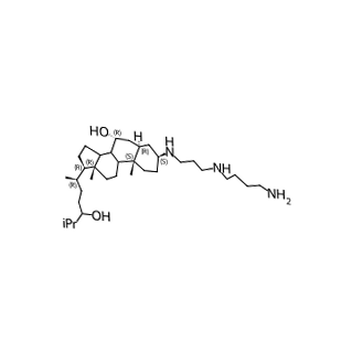 CC(C)C(O)CC[C@@H](C)[C@H]1CCC2C3C(CC[C@@]21C)[C@@]1(C)CC[C@H](NCCCNCCCCN)C[C@@H]1C[C@H]3O